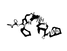 Cc1cc(Nc2ncc3cc(OC(=O)N(C)C)n(C4CCCC4)c3n2)ncc1C(=O)N1CC2CCC(C1)N2